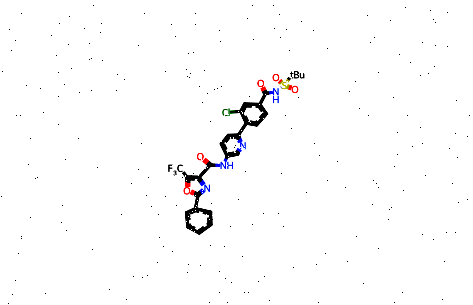 CC(C)(C)S(=O)(=O)NC(=O)c1ccc(-c2ccc(NC(=O)c3nc(-c4ccccc4)oc3C(F)(F)F)cn2)c(Cl)c1